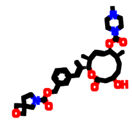 C/C(=C\c1cccc(COC(=O)N2CCC3(COC3)C2)c1)[C@H]1OC(=O)C[C@H](O)CC[C@H](C)[C@@H](OC(=O)N2CCN(C)CC2)/C=C/[C@@H]1C